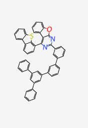 c1ccc(-c2cc(-c3ccccc3)cc(-c3cccc(-c4cccc(-c5nc(-c6cccc7c6sc6ccccc67)c6c(n5)oc5ccccc56)c4)c3)c2)cc1